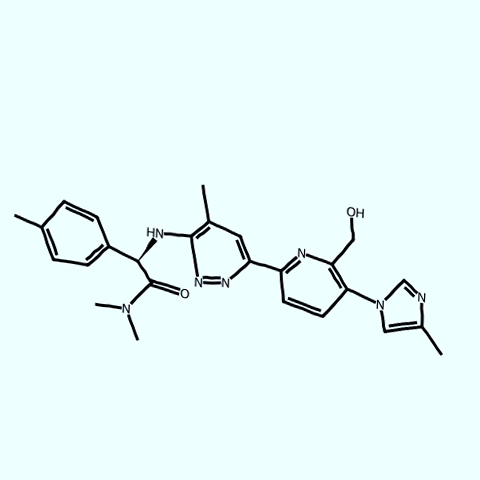 Cc1ccc([C@@H](Nc2nnc(-c3ccc(-n4cnc(C)c4)c(CO)n3)cc2C)C(=O)N(C)C)cc1